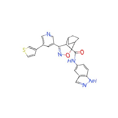 O=C(Nc1ccc2[nH]ncc2c1)C12ON=C(c3cncc(-c4ccsc4)c3)C1C1CCC2C1